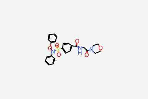 O=C(NCC(=O)N1CCOCC1)c1ccc(S(=O)(=O)N(Oc2ccccc2)c2ccccc2)cc1